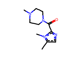 Cc1cnc(C(=O)N2CCN(C)CC2)n1C